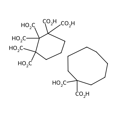 O=C(O)C1(C(=O)O)CCCC(C(=O)O)(C(=O)O)C1(C(=O)O)C(=O)O.O=C(O)C1(C(=O)O)CCCCCCC1